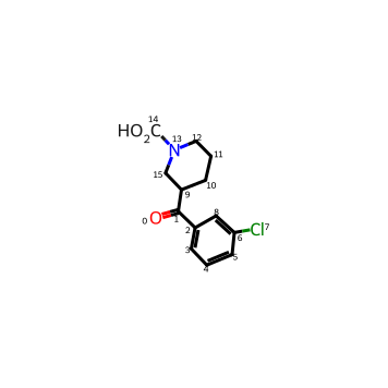 O=C(c1cccc(Cl)c1)C1CCCN(C(=O)O)C1